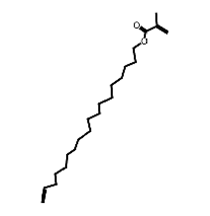 C=CCCCCCCCCCCCCCCCCOC(=O)C(=C)C